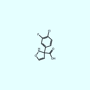 O=C(O)C1(c2ccc(Cl)c(F)c2)C=CON1